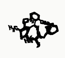 COc1ccccc1C1=NN(Cc2cccnc2)C(=S)Nc2sc(C)c(C)c21